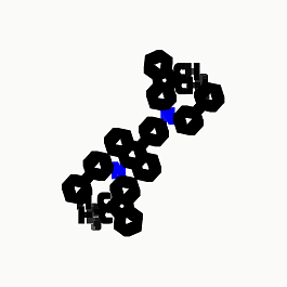 CC1(C)c2ccccc2-c2ccc(N(c3ccc(-c4c5ccccc5c(N(c5cccc(-c6ccccc6)c5)c5ccc6c(c5)C(C)(C)c5ccccc5-6)c5ccccc45)cc3)c3cccc(-c4ccccc4)c3)cc21